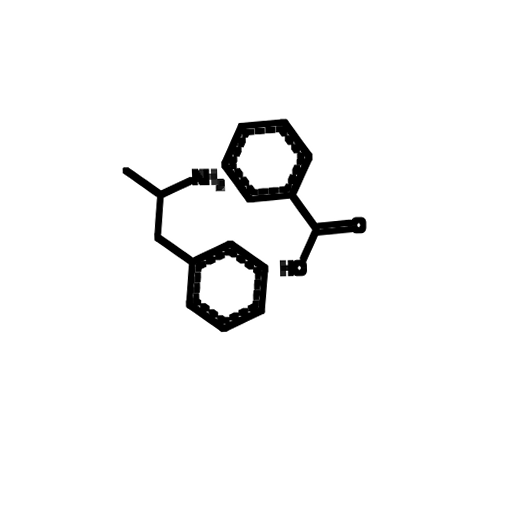 CC(N)Cc1ccccc1.O=C(O)c1ccccc1